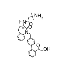 CC(C)(N)CC(=O)N[C@@H]1CCc2ccccc2N(Cc2ccc(-c3ccccc3C(=O)CO)cc2)C1=O